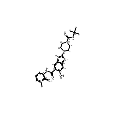 Cn1cccc(NC(=O)c2cc3sc(N4CCN(C(=O)OC(C)(C)C)CC4)nc3cc2O)c1=O